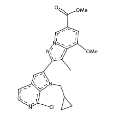 COC(=O)c1cc(OC)c2c(C)c(-c3cc4ccnc(Cl)c4n3CC3CC3)nn2c1